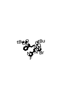 CC(C)(C)OC(=O)N(CCc1cn(C(=O)OC(C)(C)C)c2ccccc12)c1cc(-c2cncc(F)c2)nc2c(Br)cnn12